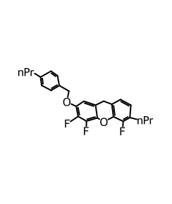 CCCc1ccc(COc2cc3c(c(F)c2F)Oc2c(ccc(CCC)c2F)C3)cc1